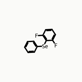 Fc1cccc(F)c1[Se]c1ccccc1